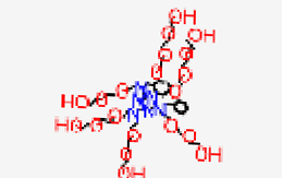 OCCOCCOCCOc1ccccc1CN(CCOCCOCCO)c1nc(N(CCOCCOCCO)CCOCCOCCO)nc(N(CCOCCOCCO)Cc2ccccc2OCCOCCOCCO)n1